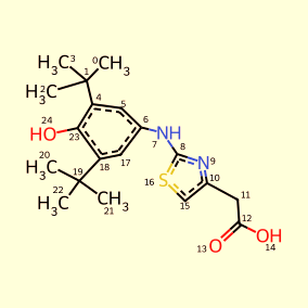 CC(C)(C)c1cc(Nc2nc(CC(=O)O)cs2)cc(C(C)(C)C)c1O